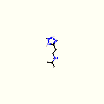 CC(C)NCCc1nnn[nH]1